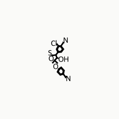 CC1(COc2ccc(C#N)cc2)OC(=S)C(c2ccc(C#N)c(Cl)c2)C1O